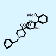 COc1ccccc1-c1ncc(C2(C(=O)O)CCN(Cc3ccccc3)CC2)cc1F